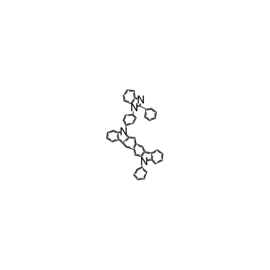 c1ccc(-c2nc3ccccc3n2-c2ccc(-n3c4ccccc4c4cc5cc6c(cc5cc43)c3ccccc3n6-c3ccccc3)cc2)cc1